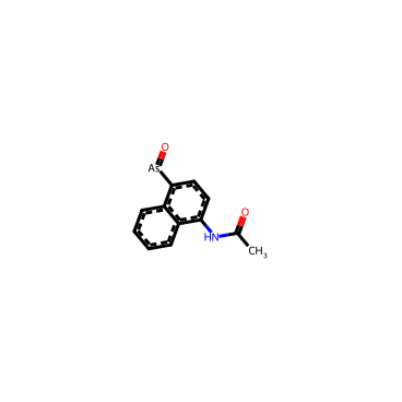 CC(=O)Nc1ccc([As]=O)c2ccccc12